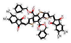 N#Cc1cc2c(cc1C#N)C(=O)C(=Cc1cc3c(C(=O)OCc4ccccc4)c4sc5cc(C=C6C(=O)c7cc(C#N)c(C#N)cc7C6=O)sc5c4c(C(=O)OCc4ccccc4)c3s1)C2=O